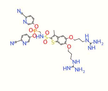 Cc1c(S(=O)(=O)NCP(=O)(Oc2ccc(C#N)nc2)Oc2ccc(C#N)nc2)sc2cc(OCCCNC(=N)N)c(OCCCNC(=N)N)cc12